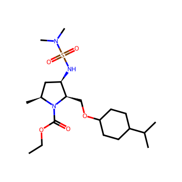 CCOC(=O)N1[C@H](COC2CCC(C(C)C)CC2)[C@H](NS(=O)(=O)N(C)C)C[C@@H]1C